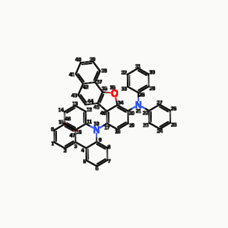 c1ccc(-c2ccccc2N(c2ccccc2)c2ccc(N(c3ccccc3)c3ccccc3)c3oc4c5ccccc5ccc4c23)cc1